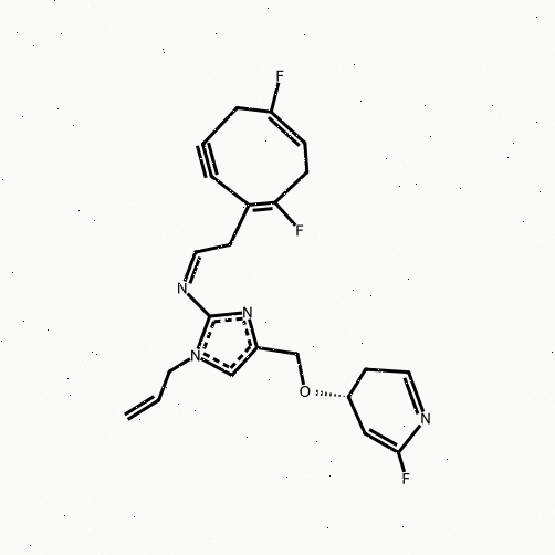 C=CCn1cc(CO[C@H]2C=C(F)N=CC2)nc1/N=C\C/C1=C(\F)C/C=C(/F)CC#C1